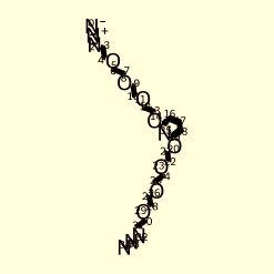 [N-]=[N+]=NCCOCCOCCOCCOc1cccc(OCCOCCOCCOCCN=[N+]=[N-])n1